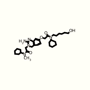 CN(C(=O)CN1Cc2ccc(OCC(=O)N(CCCCCCO)C3CCCCC3)cc2N=C1N)C1CCCCC1